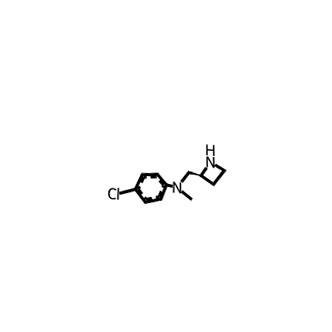 CN(C[C@@H]1CCN1)c1ccc(Cl)cc1